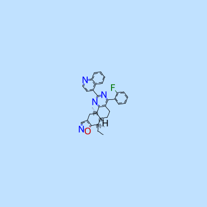 CC[C@@]1(C)c2oncc2C[C@@]2(C)c3nc(-c4ccnc5ccccc45)nc(-c4ccccc4F)c3CC[C@@H]21